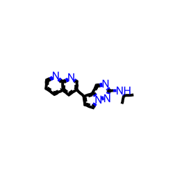 CC(C)Nc1ncc2c(-c3cnc4ncccc4c3)ccn2n1